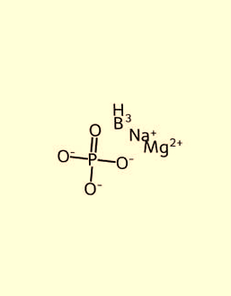 B.O=P([O-])([O-])[O-].[Mg+2].[Na+]